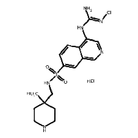 Cl.NC(=NCl)Nc1cncc2cc(S(=O)(=O)NCC3(C(=O)O)CCNCC3)ccc12